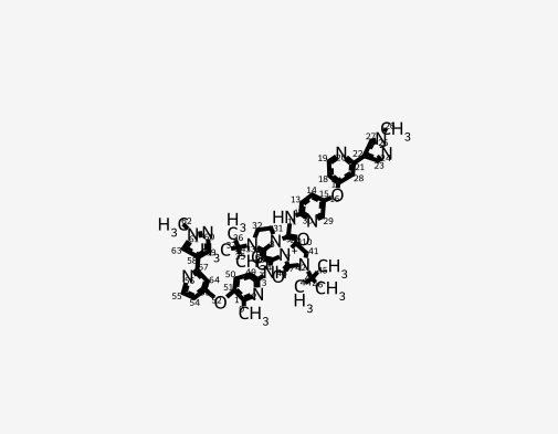 Cc1nc(NC(=O)[N+]2([N+]3(C(=O)Nc4ccc(Oc5ccnc(-c6cnn(C)c6)c5)cn4)CCN(C(C)(C)C)C3=O)CCN(C(C)(C)C)C2=O)ccc1Oc1ccnc(-c2cnn(C)c2)c1